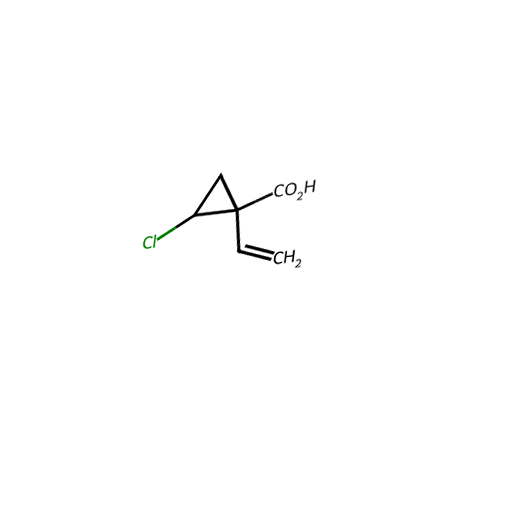 C=CC1(C(=O)O)CC1Cl